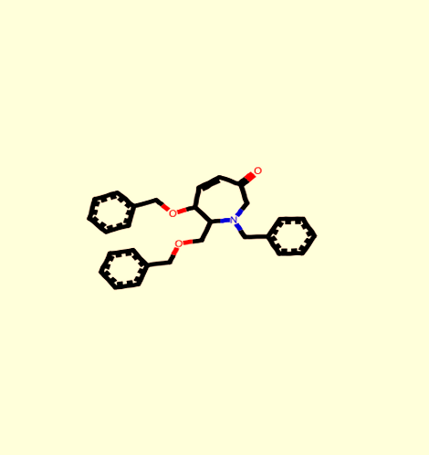 O=C1C=CC(OCc2ccccc2)C(COCc2ccccc2)N(Cc2ccccc2)C1